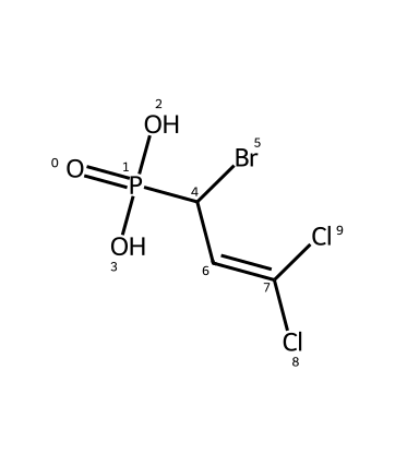 O=P(O)(O)C(Br)C=C(Cl)Cl